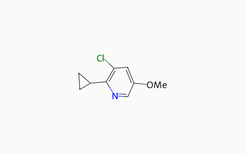 COc1cnc(C2CC2)c(Cl)c1